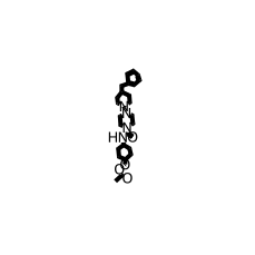 CC(=O)OOC1CCC(NC(=O)N2CCN(N3CCC(Cc4ccccc4)CC3)CC2)CC1